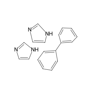 c1c[nH]cn1.c1c[nH]cn1.c1ccc(-c2ccccc2)cc1